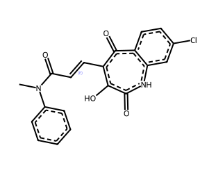 CN(C(=O)/C=C/c1c(O)c(=O)[nH]c2cc(Cl)ccc2c1=O)c1ccccc1